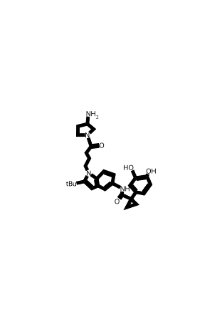 CC(C)(C)c1cc2cc(NC(=O)C3(c4ccc(O)c(O)c4)CC3)ccc2n1CCCC(=O)N1CCC(N)C1